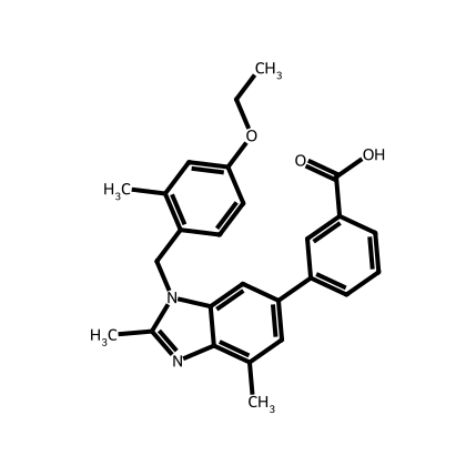 CCOc1ccc(Cn2c(C)nc3c(C)cc(-c4cccc(C(=O)O)c4)cc32)c(C)c1